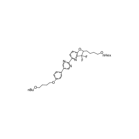 CCCCCCOCCCCC1Oc2ccc(-c3ncc(-c4ccc(OCCCCOCCCC)cc4)cn3)nc2C1(F)F